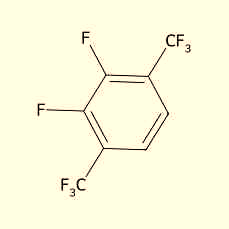 Fc1c(C(F)(F)F)ccc(C(F)(F)F)c1F